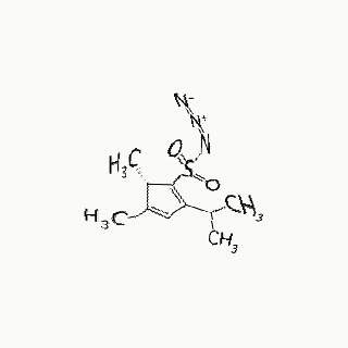 CC1=CC(C(C)C)=C(S(=O)(=O)N=[N+]=[N-])[C@H]1C